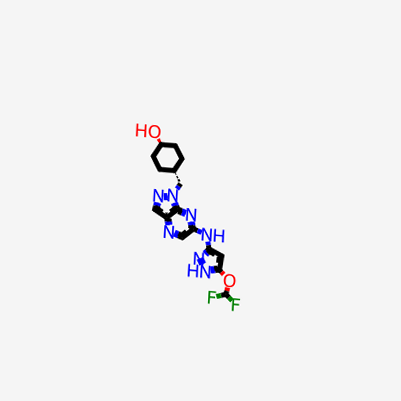 O[C@H]1CC[C@H](Cn2ncc3ncc(Nc4cc(OC(F)F)[nH]n4)nc32)CC1